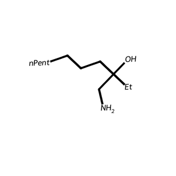 CCCCCCCCC(O)(CC)CN